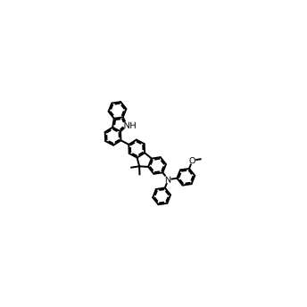 COc1cccc(N(c2ccccc2)c2ccc3c(c2)C(C)(C)c2cc(-c4cccc5c4[nH]c4ccccc45)ccc2-3)c1